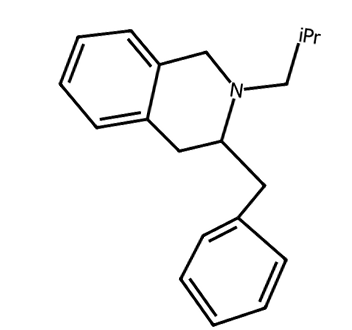 CC(C)CN1Cc2ccccc2CC1Cc1ccccc1